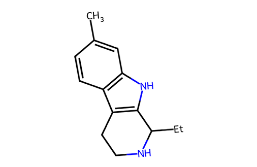 CCC1NCCc2c1[nH]c1cc(C)ccc21